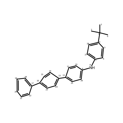 CC(C)(C)c1ccc(Nc2ccc(-c3ccc(-c4ccccc4)cc3)cc2)cc1